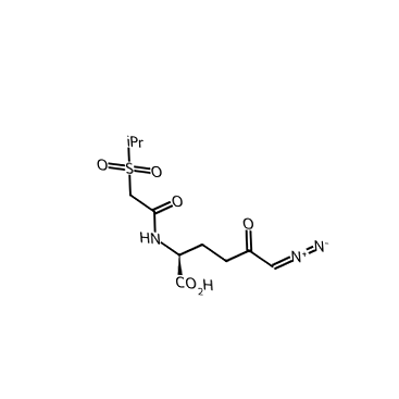 CC(C)S(=O)(=O)CC(=O)N[C@@H](CCC(=O)C=[N+]=[N-])C(=O)O